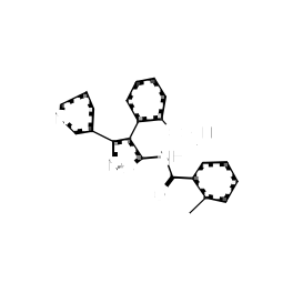 Cc1ccccc1C(=O)Nc1onc(-c2cccnc2)c1-c1ccccc1C(=O)O